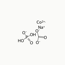 O=C([O-])[O-].O=P([O-])(O)O.[Co+2].[Na+]